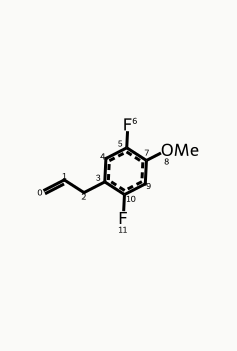 C=CCc1cc(F)c(OC)cc1F